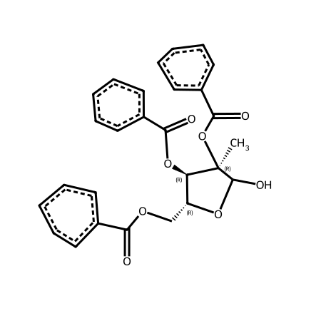 C[C@]1(OC(=O)c2ccccc2)C(O)O[C@H](COC(=O)c2ccccc2)[C@H]1OC(=O)c1ccccc1